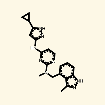 Cc1n[nH]c2cccc(CN(C)c3nccc(Nc4cc(C5CC5)[nH]n4)n3)c12